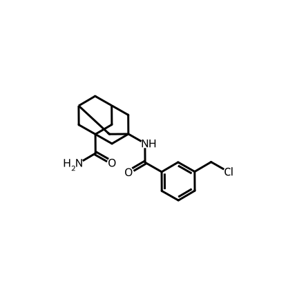 NC(=O)C12CC3CC(CC(NC(=O)c4cccc(CCl)c4)(C3)C1)C2